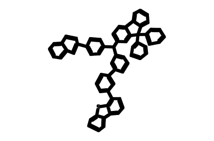 c1ccc(C2(c3ccccc3)c3ccccc3-c3ccc(C(c4ccc(-c5ccc6ccccc6c5)cc4)c4cccc(-c5cccc(-c6cccc7c6sc6ccccc67)c5)c4)cc32)cc1